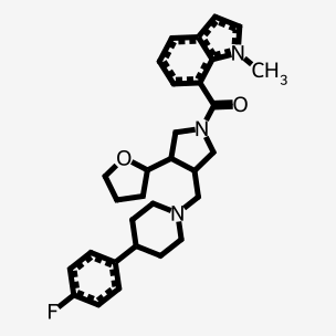 Cn1ccc2cccc(C(=O)N3CC(CN4CCC(c5ccc(F)cc5)CC4)C(C4CCCO4)C3)c21